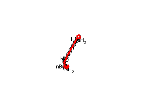 CCCCc1nc2c(N)nc3ccccc3c2n1CCN1CCN(C(=O)CCC(=O)NCCOCCOCCOCCOCCOCCOCCOCCOCCC(=O)NC2C3CCCCCCCCC(C3)C2N)CC1